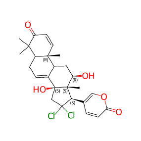 CC1(C)C(=O)C=C[C@]2(C)C3C[C@@H](O)[C@]4(C)[C@@H](c5ccc(=O)oc5)C(Cl)(Cl)C[C@]4(O)C3=CCC12